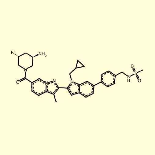 Cc1c(-c2cc3ccc(-c4ccc(CNS(C)(=O)=O)cc4)cc3n2CC2CC2)nn2cc(C(=O)N3C[C@H](N)C[C@@H](F)C3)ccc12